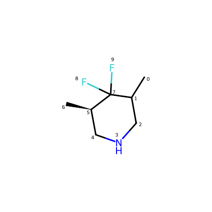 CC1CNC[C@@H](C)C1(F)F